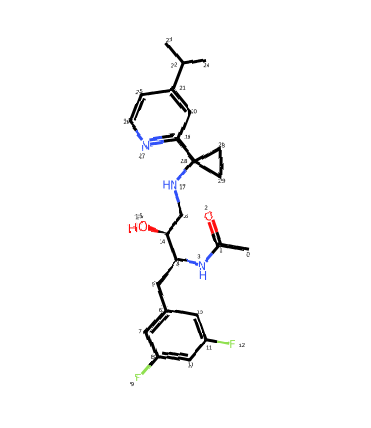 CC(=O)N[C@@H](Cc1cc(F)cc(F)c1)[C@@H](O)CNC1(c2cc(C(C)C)ccn2)CC1